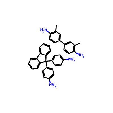 Cc1cc(-c2ccc(N)c(C)c2)ccc1N.Nc1ccc(C2(c3ccc(N)cc3)c3ccccc3-c3ccccc32)cc1